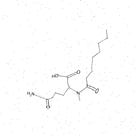 CCCCCCCC(=O)N(C)C(CCC(N)=O)C(=O)O